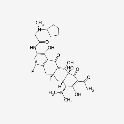 CN(CC(=O)Nc1cc(F)c2c(c1O)C(=O)C1=C(O)[C@]3(O)C(=O)C(C(N)=O)=C(O)[C@@H](N(C)C)[C@@H]3C[C@@H]1C2)C1CCCC1